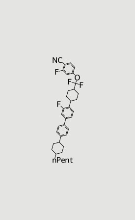 CCCCCC1CCC(c2ccc(-c3ccc(C4CCC(C(F)(F)Oc5ccc(C#N)c(F)c5)CC4)c(F)c3)cc2)CC1